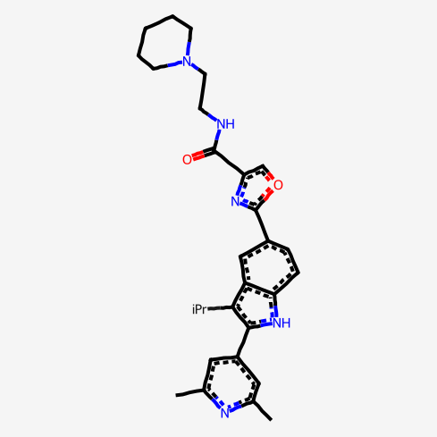 Cc1cc(-c2[nH]c3ccc(-c4nc(C(=O)NCCN5CCCCC5)co4)cc3c2C(C)C)cc(C)n1